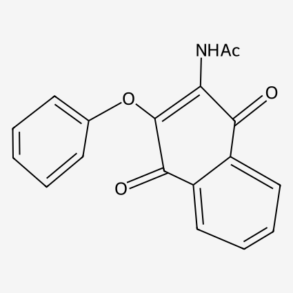 CC(=O)NC1=C(Oc2ccccc2)C(=O)c2ccccc2C1=O